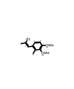 CC/C(C)=C\c1ccc(OC)c(OC)c1C